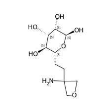 NC1(CC[C@H]2O[C@H](O)[C@@H](O)[C@@H](O)[C@@H]2O)COC1